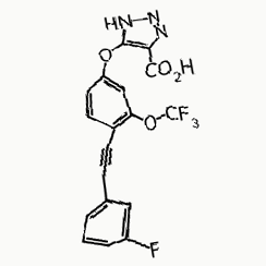 O=C(O)c1nn[nH]c1Oc1ccc(C#Cc2cccc(F)c2)c(OC(F)(F)F)c1